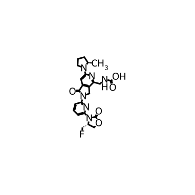 C[C@@H]1CCCN1c1cc2c(c(CNC(=O)O)n1)CN(c1cccc(N3C(=O)OC[C@@H]3CF)n1)C2=O